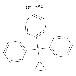 CC(=O)[O-].c1ccc([P+](c2ccccc2)(c2ccccc2)C2CC2)cc1